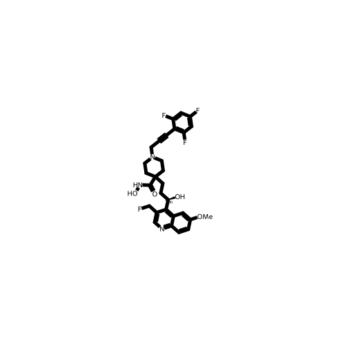 COc1ccc2ncc(CF)c([C@H](O)CCC3(C(=O)NO)CCN(CC#Cc4c(F)cc(F)cc4F)CC3)c2c1